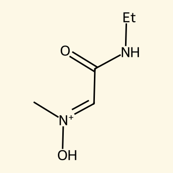 CCNC(=O)/C=[N+](\C)O